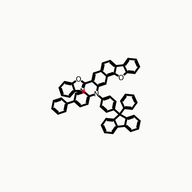 c1ccc(-c2ccc(N(c3ccc(C4(c5ccccc5)c5ccccc5-c5ccccc54)cc3)c3cc4c(ccc5c6ccccc6oc45)cc3-c3nc4ccccc4o3)cc2)cc1